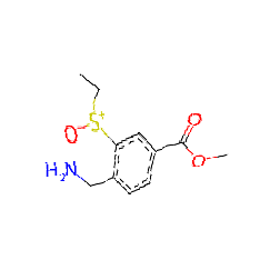 CC[S+]([O-])c1cc(C(=O)OC)ccc1CN